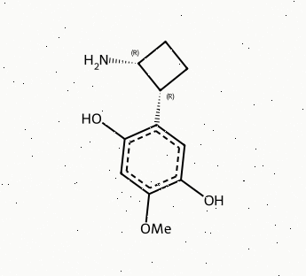 COc1cc(O)c([C@H]2CC[C@H]2N)cc1O